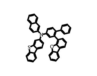 c1ccc(-c2ccc(N(c3ccc4ccccc4c3)c3ccc4c(c3)sc3ccccc34)cc2-c2cccc3c2oc2ccccc23)cc1